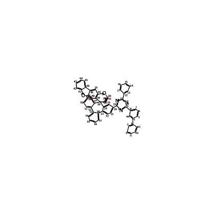 c1ccc(-c2cccc(-c3nc(-c4ccccc4)nc(-c4ccc5c(c4)C4(c6ccccc6Oc6cc7c(cc64)oc4ccccc47)c4ccccc4-c4ccccc4-5)n3)c2)cc1